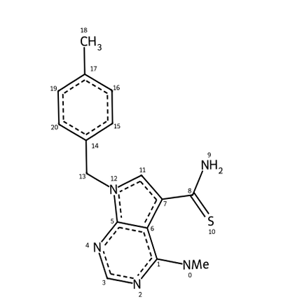 CNc1ncnc2c1c(C(N)=S)cn2Cc1ccc(C)cc1